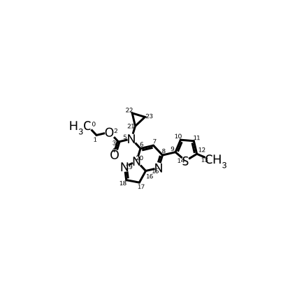 CCOC(=O)N(C1=CC(c2ccc(C)s2)=NC2CC=NN12)C1CC1